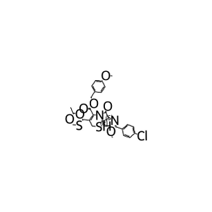 COC(=N[C@H]1C(=O)N2C(C(=O)OCc3ccc(OC)cc3)=C(C(OC(C)=O)SC)CS[C@H]12)c1ccc(Cl)cc1